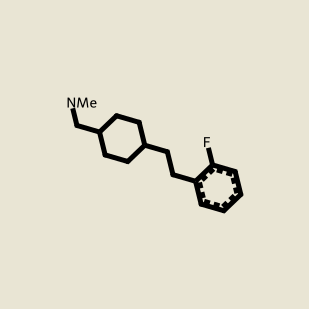 CNCC1CCC(CCc2ccccc2F)CC1